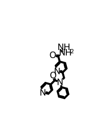 NNC(=O)c1ccc(CN(C(=O)c2ccncc2)c2ccccc2)nc1